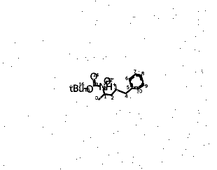 CC(CCCc1ccccc1)[NH+]([O-])C(=O)OC(C)(C)C